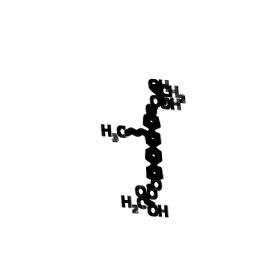 C=C(CO)C(=O)OCOc1ccc(-c2ccc(-c3ccc(-c4ccc(OCOC(O)C(=C)CO)cc4)c(CCCCC)c3)cc2)cc1